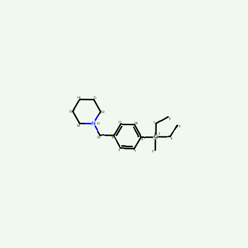 CC[Si](C)(CC)c1ccc(CN2CCCCC2)cc1